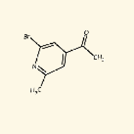 CC(=O)c1cc(C)nc(Br)c1